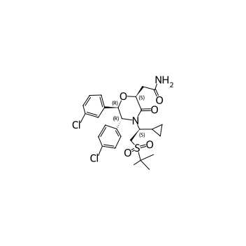 CC(C)(C)S(=O)(=O)C[C@H](C1CC1)N1C(=O)[C@H](CC(N)=O)O[C@H](c2cccc(Cl)c2)[C@H]1c1ccc(Cl)cc1